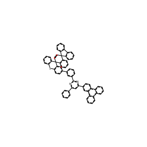 c1ccc(-c2cc(-c3ccc4c5ccccc5c5ccccc5c4c3)nc(-c3cccc(-c4ccc5c(c4)C4(c6ccccc6S5)c5ccccc5C5(c6ccccc6-c6ccccc65)c5ccccc54)c3)n2)cc1